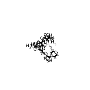 CCC(C)(OC(C)C(=O)C(C)(CC)OC(CNC(C)(C)C)COc1nsnc1N1CCOCC1)C(C)=O